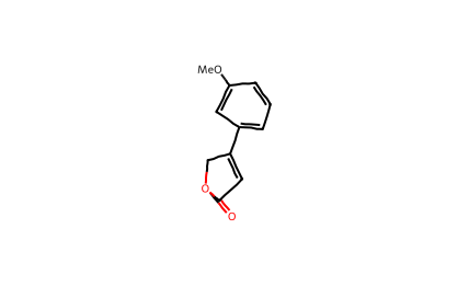 COc1cccc(C2=CC(=O)OC2)c1